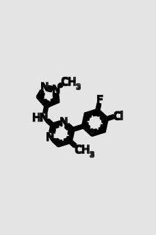 Cc1cnc(Nc2cnn(C)c2)nc1-c1ccc(Cl)c(F)c1